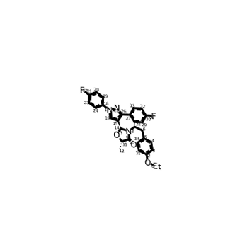 CCOc1ccc(CCN2C(=O)[C@H](C)O[C@H]2c2cn(-c3ccc(F)cc3)nc2-c2ccc(F)cc2)cc1